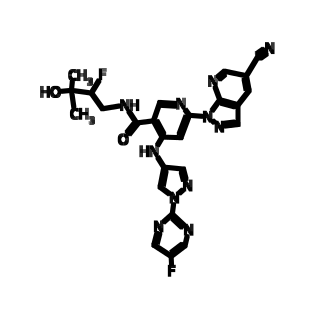 CC(C)(O)C(F)CNC(=O)c1cnc(-n2ncc3cc(C#N)cnc32)cc1Nc1cnn(-c2ncc(F)cn2)c1